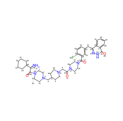 C[C@@H]1CN(CC2CCN(CC(=O)N3CCN(C(=O)c4cc(Cc5n[nH]c(=O)c6ccccc56)ccc4F)CC3)CC2)C[C@H](C)N1C(=O)[C@H](N)C1CCCCC1